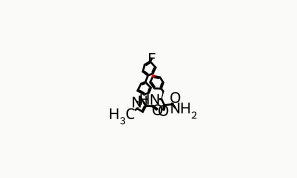 Cc1cc(C(=O)N[C@@H](Cc2ccccc2)C(=O)C(N)=O)n(-c2ccc(-c3ccc(F)cc3)cc2)n1